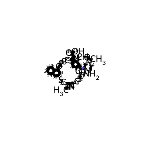 CC(=O)N1CCN(N)/C(=C2\CCSCc3cc(n(C)n3)CSc3cc(c4ccccc4c3)OCCCc3c(C(=O)O)n(C)c4c2c(Cl)ccc34)C1